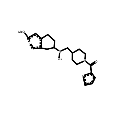 CCCN(CC1CCN(C(=O)c2cccs2)CC1)C1CCc2cc(OC)ccc2C1